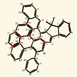 CC1(C)c2ccccc2-c2cccc(-c3cc4ccccc4cc3N(c3ccccc3)c3cccc(-c4ccccc4)c3-c3ccccc3-c3ccccc3)c21